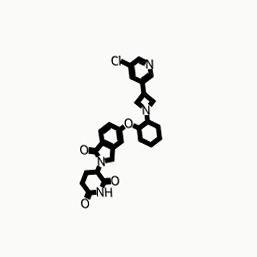 O=C1CCC(N2Cc3cc(OC4CCCCC4N4CC(c5cncc(Cl)c5)C4)ccc3C2=O)C(=O)N1